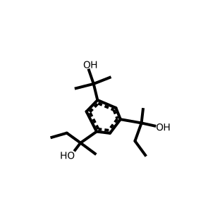 CCC(C)(O)c1cc(C(C)(C)O)cc(C(C)(O)CC)c1